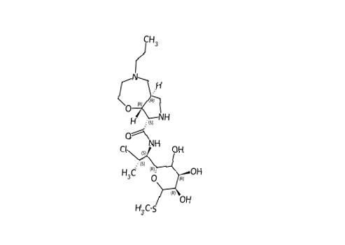 CCCN1CCO[C@@H]2[C@H](CN[C@@H]2C(=O)N[C@H]([C@H](C)Cl)[C@H]2OC(SC)[C@H](O)[C@H](O)C2O)C1